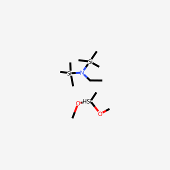 CCN([Si](C)(C)C)[Si](C)(C)C.CO[SiH](C)OC